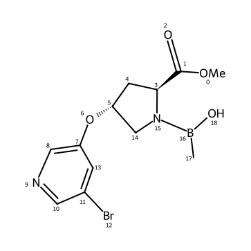 COC(=O)[C@@H]1C[C@@H](Oc2cncc(Br)c2)CN1B(C)O